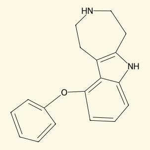 c1ccc(Oc2cccc3[nH]c4c(c23)CCNCC4)cc1